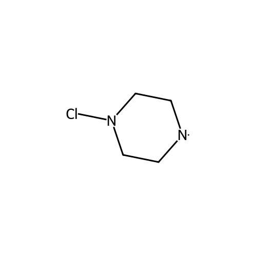 ClN1CC[N]CC1